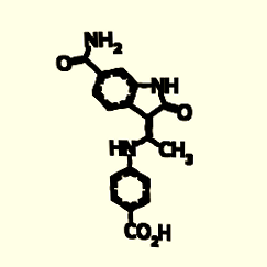 CC(Nc1ccc(C(=O)O)cc1)=C1C(=O)Nc2cc(C(N)=O)ccc21